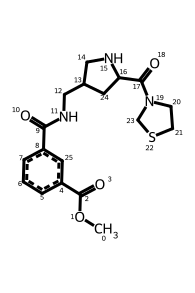 COC(=O)c1cccc(C(=O)NCC2CNC(C(=O)N3CCSC3)C2)c1